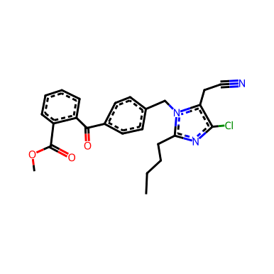 CCCCc1nc(Cl)c(CC#N)n1Cc1ccc(C(=O)c2ccccc2C(=O)OC)cc1